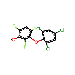 [O]c1c(F)cc(F)c(Oc2c(Cl)cc(Cl)cc2Cl)c1F